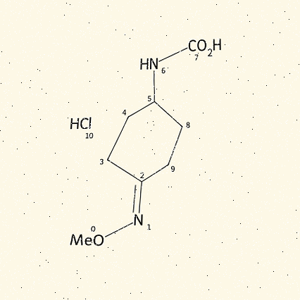 CON=C1CCC(NC(=O)O)CC1.Cl